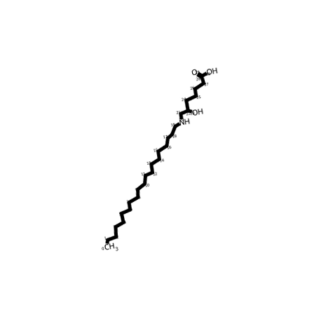 CCCCCCCCCCCCCCCCCCCCNCC(O)CCCCC(=O)O